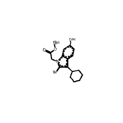 CC(=O)Oc1ccc2c(C3CCCCC3)c(Br)n(CC(=O)OC(C)(C)C)c2c1